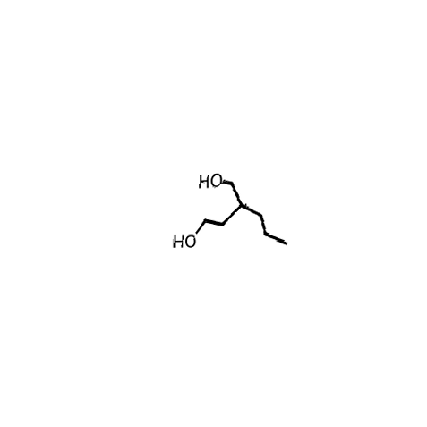 CCC[C](CO)CCO